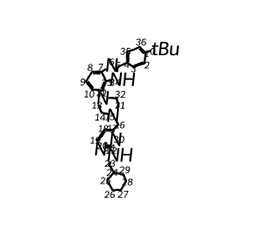 CC(C)(C)c1ccc(-c2nc3cccc(N4CCN(Cc5ccnc(NCC6CCCCC6)n5)CC4)c3[nH]2)cc1